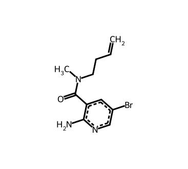 C=CCCN(C)C(=O)c1cc(Br)cnc1N